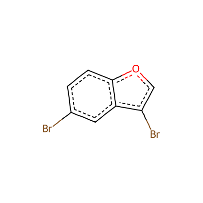 Brc1ccc2occ(Br)c2c1